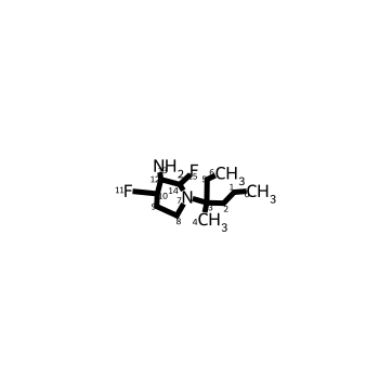 CCCC(C)(CC)N1CCC(F)C(N)C1F